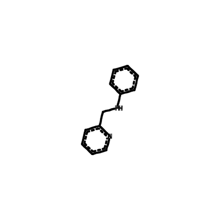 c1ccc(PCc2ccccn2)cc1